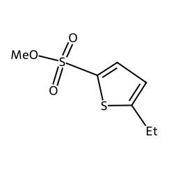 CCc1ccc(S(=O)(=O)OC)s1